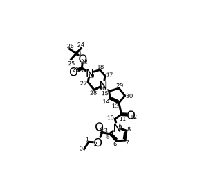 CCOC(=O)c1cccn1CC(=O)C1=C[C@H](N2CCN(C(=O)OC(C)(C)C)CC2)CC1